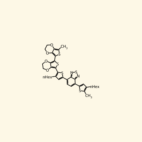 CCCCCCc1cc(-c2ccc(-c3cc(CCCCCC)c(-c4sc(-c5sc(C)c6c5OCCO6)c5c4OCCO5)s3)c3nsnc23)sc1C